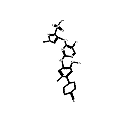 Cc1cc(Nc2ncc(Cl)c(Nc3cn(C)nc3S(=O)(=O)C(C)C)n2)c(OC(C)C)cc1C1CCC(=O)CC1